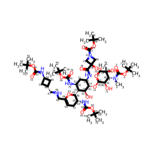 CN(C(=O)OC(C)(C)C)[C@@H]1[C@@H](O)[C@@H](O[C@H]2[C@H](NC(=O)C3(O)CN(C(=O)OC(C)(C)C)C3)C[C@H](NC(=O)OC(C)(C)C)C([C@H]3OC(CNC[C@H]4C[C@H](NC(=O)OC(C)(C)C)C4)=CC[C@H]3NC(=O)OC(C)(C)C)[C@@H]2O)OC[C@]1(C)O